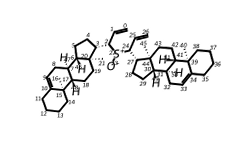 C=CC([C@H]1CC[C@H]2[C@@H]3CC=C4CCCC[C@]4(C)[C@H]3CC[C@]12C)[S+]([O-])C(C=C)[C@H]1CC[C@H]2[C@@H]3CC=C4CCCC[C@]4(C)[C@H]3CC[C@]12C